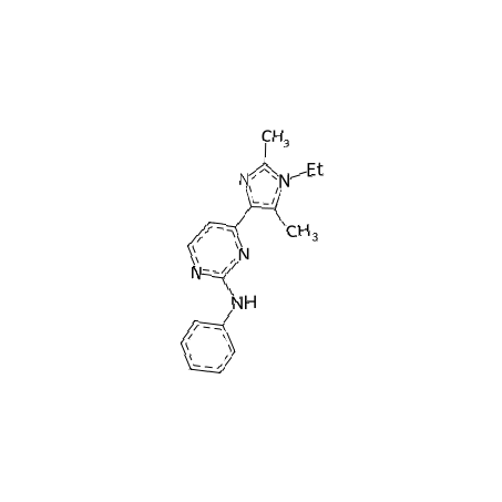 CCn1c(C)nc(-c2ccnc(Nc3ccccc3)n2)c1C